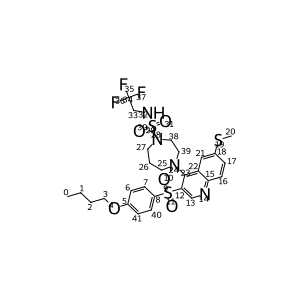 CCCCOc1ccc(S(=O)(=O)c2cnc3ccc(SC)cc3c2N2CCCN(S(=O)(=O)NCC(F)(F)F)CC2)cc1